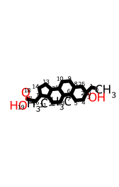 CC[C@]1(O)CCC2(C)C(CCC3C4CCC(CC(=O)O)C4(C)CCC32)C1